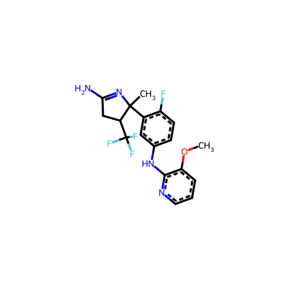 COc1cccnc1Nc1ccc(F)c(C2(C)N=C(N)CC2C(F)(F)F)c1